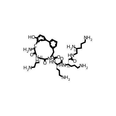 NCCC[C@H](N)CNC(=O)C[C@H](CCCN)NC(=O)[C@H](CCCN)NC(=O)[C@@H]1Cc2cccc(c2)-c2ccc(O)c(c2)C[C@H](N)C(=O)N[C@@H](CCCN)C(=O)N1